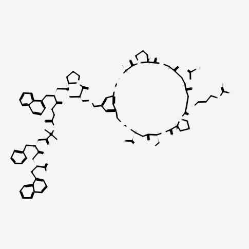 CCC(=O)[C@H](CC(=O)[C@H](CC(=O)C(C)(C)NC(=O)CCC(=O)[C@H](CC(=O)[C@H]1CCCN1C(=O)[C@@H](CSCc1cc2cc(c1)CSC[C@@H](C)C(=O)N1CCC[C@@H]1C(=O)C[C@H](C(C)(C)C)C(=O)C[C@H](CC(N)=O)C(=O)C[C@H](CCCCNC(=N)N)C(=O)N1CCC[C@@H]1C(=O)C[C@@H](CC(=O)O)C(=O)C[C@@H](C(N)=O)CSC2)CC(C)=O)Cc1cccc2ccccc12)Cc1ccccc1)Cc1cccc2ccccc12